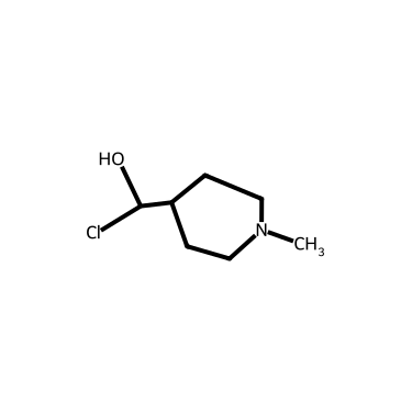 CN1CCC(C(O)Cl)CC1